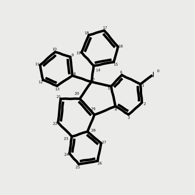 Ic1ccc2c(c1)C(c1ccccc1)(c1ccccc1)c1ccc3ccccc3c1-2